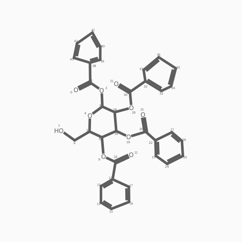 O=C(OC1OC(CO)C(OC(=O)c2ccccc2)C(OC(=O)c2ccccc2)C1OC(=O)c1ccccc1)c1ccccc1